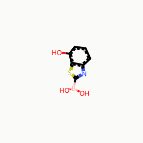 OB(O)c1nc2cccc(O)c2s1